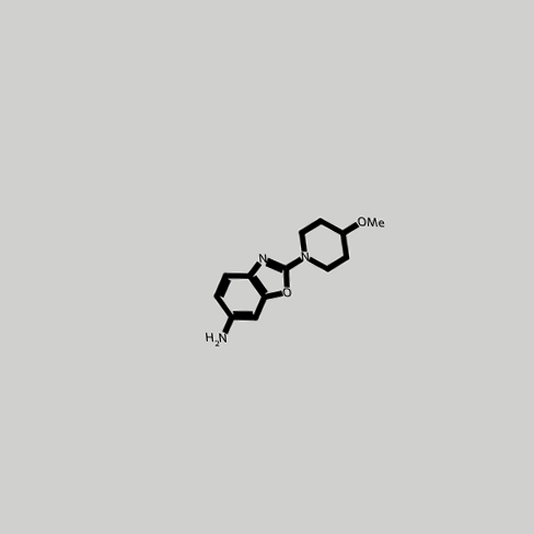 COC1CCN(c2nc3ccc(N)cc3o2)CC1